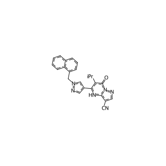 CC(C)c1c(-c2cnn(Cc3cccc4ccccc34)c2)[nH]c2c(C#N)cnn2c1=O